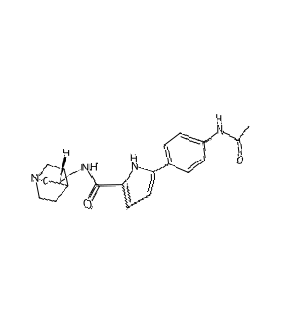 CC(=O)Nc1ccc(-c2ccc(C(=O)N[C@H]3CN4CCC3CC4)[nH]2)cc1